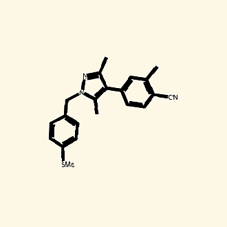 CSc1ccc(Cn2nc(C)c(-c3ccc(C#N)c(C)c3)c2C)cc1